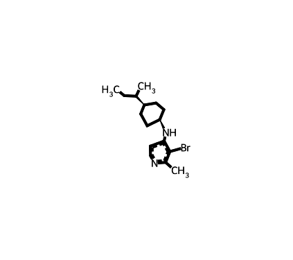 CCC(C)[C@H]1CC[C@@H](Nc2ccnc(C)c2Br)CC1